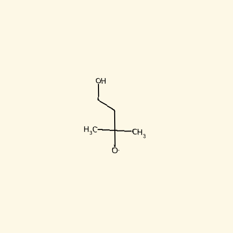 CC(C)([O])CCO